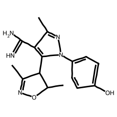 CC1=NOC(C)C1c1c(C(=N)N)c(C)nn1-c1ccc(O)cc1